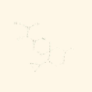 CN1CCN(C2CC2)C2(CCN(C(=O)N(C)C)CC2)C1